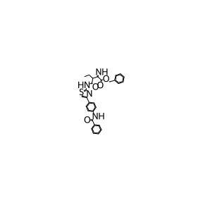 CCC(C(=N)C(=O)OCc1ccccc1)C(=O)Nc1nc(-c2ccc(NC(=O)c3ccccc3)cc2)cs1